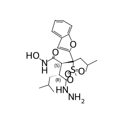 CC(C)C[C@@H](C(=O)NN)[C@@H](C(=O)NO)C(CC(C)C)(c1cc2ccccc2o1)S(C)(=O)=O